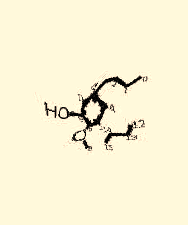 CC=Cc1ccc(OC)c(O)c1.CCCC